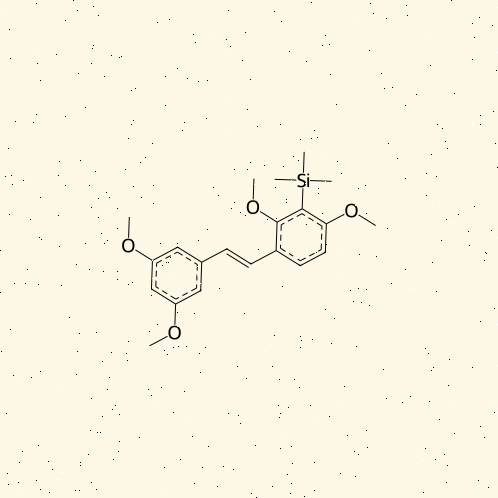 COc1cc(/C=C/c2ccc(OC)c([Si](C)(C)C)c2OC)cc(OC)c1